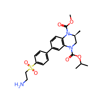 COC(=O)N1c2ccc(-c3ccc(S(=O)(=O)CCN)cc3)cc2N(C(=O)OC(C)C)C[C@@H]1C